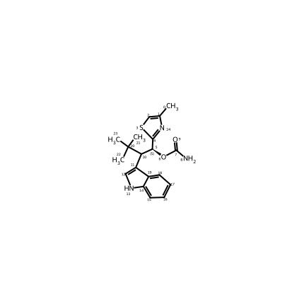 Cc1csc([C@@H](OC(N)=O)C(c2c[nH]c3ccccc23)C(C)(C)C)n1